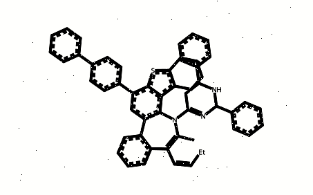 CC/C=C\C1=C(C)N(C2=NC(c3ccccc3)NC(c3ccccc3)C2)c2c(cc(-c3ccc(-c4ccccc4)cc3)c3sc4c(c23)CCC=C4)-c2ccccc21